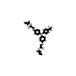 C=CC(C)(C)OC(=O)CSc1ccc([SH](c2ccc(SCC(=O)OC(C)(C)C=C)cc2)c2ccc(C(F)(F)F)cc2)cc1